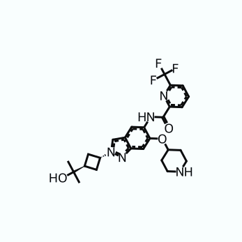 CC(C)(O)[C@H]1C[C@H](n2cc3cc(NC(=O)c4cccc(C(F)(F)F)n4)c(OC4CCNCC4)cc3n2)C1